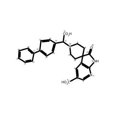 O=C(O)c1cnc2c(c1)C1(CCN(C(C(=O)O)c3ccc(-c4ccccc4)cc3)CC1)C(=O)N2